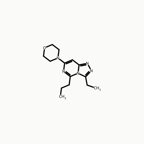 CCCc1nc(N2CCOCC2)cc2nnc(CC)n12